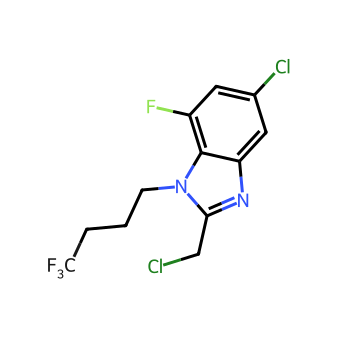 Fc1cc(Cl)cc2nc(CCl)n(CCCC(F)(F)F)c12